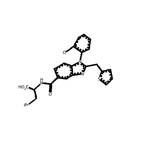 CC(C)CC(NC(=O)c1ccc2c(c1)nc(Cc1cccs1)n2-c1ccccc1Cl)C(=O)O